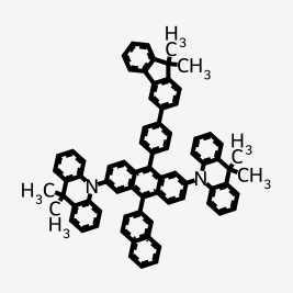 CC1(C)c2ccccc2-c2cc(-c3ccc(-c4c5ccc(N6c7ccccc7C(C)(C)c7ccccc76)cc5c(-c5ccc6ccccc6c5)c5ccc(N6c7ccccc7C(C)(C)c7ccccc76)cc45)cc3)ccc21